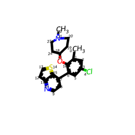 Cc1cc(Cl)cc(-c2ccnc3ccsc23)c1OC1CCN(C)CC1